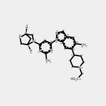 Cc1nc(N2C[C@@H]3C[C@H]2CO3)cc(-n2ncc3cc(C)c(C4CCN(CC(=O)O)CC4)cc32)n1